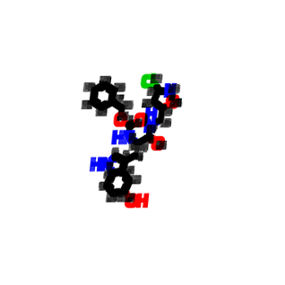 O=C(N[C@@H](Cc1c[nH]c2ccc(O)cc12)C(=O)NCC1CC(Cl)=NO1)OCc1ccccc1